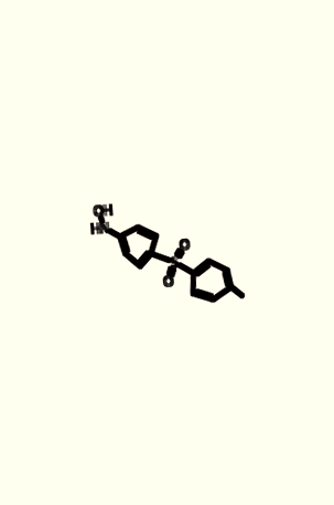 Cc1ccc(S(=O)(=O)c2ccc(NO)cc2)cc1